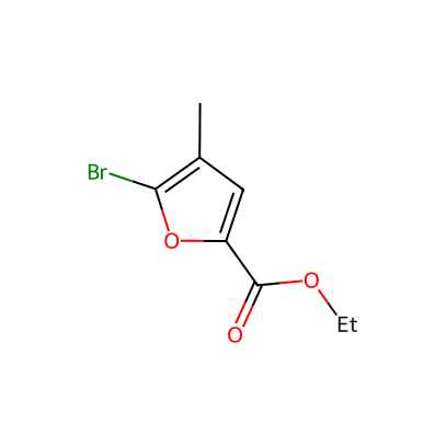 CCOC(=O)c1cc(C)c(Br)o1